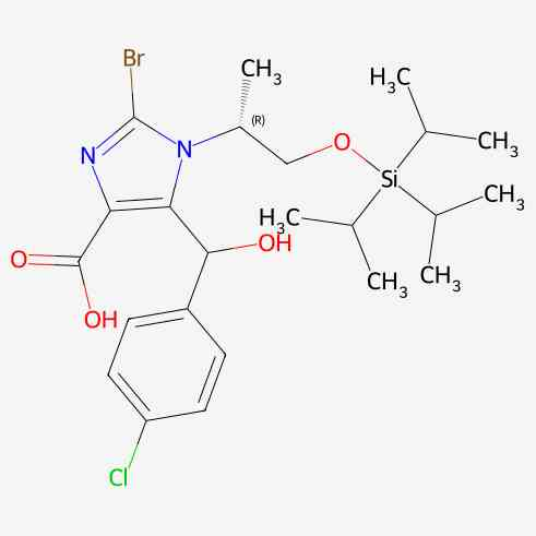 CC(C)[Si](OC[C@@H](C)n1c(Br)nc(C(=O)O)c1C(O)c1ccc(Cl)cc1)(C(C)C)C(C)C